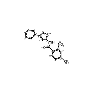 O=C(Nc1nc(-c2ccccc2)cs1)c1ccc(C(F)(F)F)cc1[N+](=O)[O-]